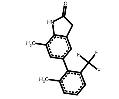 Cc1cc(-c2c(C)cccc2C(F)(F)F)cc2c1NC(=O)C2